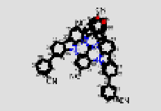 Cc1cc(C)nc(-c2c(-n3c4cc(-c5cccc(C#N)c5)ccc4c4ccc(-c5cccc(C#N)c5)cc43)cc(C#N)cc2-n2c3cc(-c4cccc(C#N)c4)ccc3c3ccc(-c4cccc(C#N)c4)cc32)n1